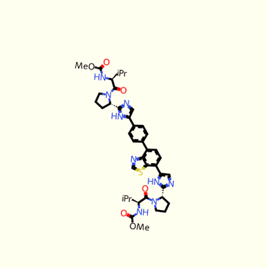 COC(=O)N[C@H](C(=O)N1CCC[C@H]1c1ncc(-c2ccc(-c3ccc(-c4cnc([C@@H]5CCCN5C(=O)[C@@H](NC(=O)OC)C(C)C)[nH]4)c4scnc34)cc2)[nH]1)C(C)C